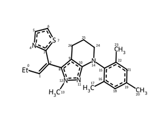 CC/C=C(\c1nccs1)c1c2c(nn1C)N(c1c(C)cc(C)cc1C)CCC2